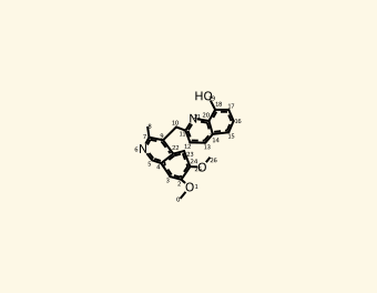 COc1cc2cnc(C)c(Cc3ccc4cccc(O)c4n3)c2cc1OC